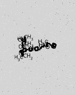 Cc1cc(C)c(CNC(=O)c2cc(-c3ccc(N4CCN(CCCNC(=O)C(C)CCC56CC7CC(CC(C7)C5)C6)CC4)nc3)cc3c2cnn3C(C)C)c(=O)[nH]1